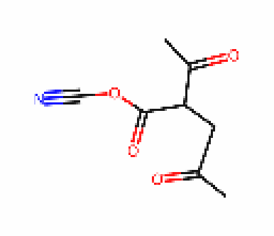 CC(=O)CC(C(C)=O)C(=O)OC#N